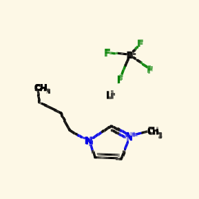 CCCCn1cc[n+](C)c1.F[B-](F)(F)F.[Li]